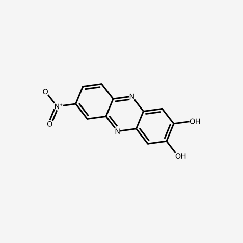 O=[N+]([O-])c1ccc2nc3cc(O)c(O)cc3nc2c1